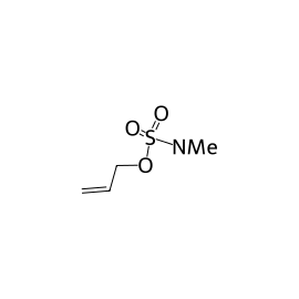 C=CCOS(=O)(=O)NC